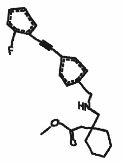 COC(=O)CC1(CNCc2ccc(C#Cc3ccccc3F)cc2)CCCCC1